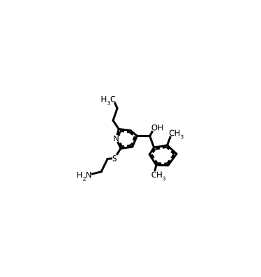 CCCc1cc(C(O)c2cc(C)ccc2C)cc(SCCN)n1